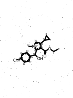 CCOC(=O)c1c(C2CC2)cn(C)c1C(O)c1ccc(Cl)cc1